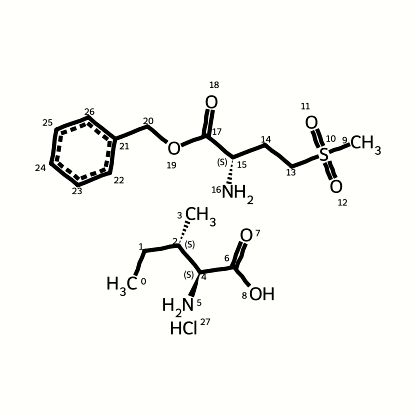 CC[C@H](C)[C@H](N)C(=O)O.CS(=O)(=O)CC[C@H](N)C(=O)OCc1ccccc1.Cl